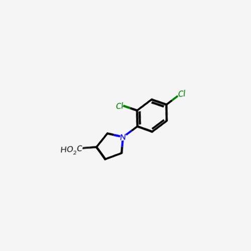 O=C(O)C1CCN(c2ccc(Cl)cc2Cl)C1